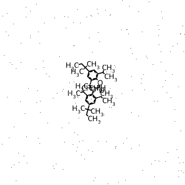 CCC(C)(C)c1cc(C(C)C)c(O[PH](=O)Oc2c(C(C)C)cc(C(C)(C)CC)cc2C(C)C)c(C(C)C)c1